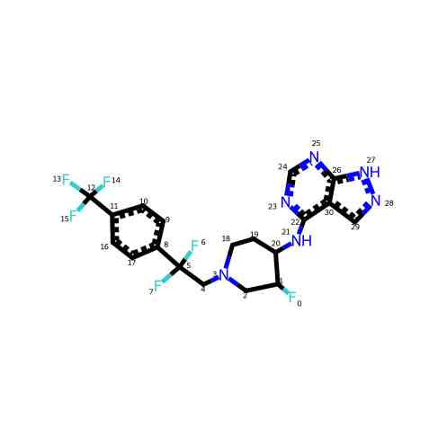 FC1CN(CC(F)(F)c2ccc(C(F)(F)F)cc2)CCC1Nc1ncnc2[nH]ncc12